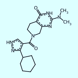 CN(C)c1nc2c(c(=O)[nH]1)CCN(C(=O)c1c[nH]nc1C1CCCCC1)C2